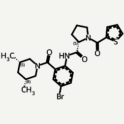 C[C@@H]1C[C@H](C)CN(C(=O)c2cc(Br)ccc2NC(=O)[C@@H]2CCCN2C(=O)c2cccs2)C1